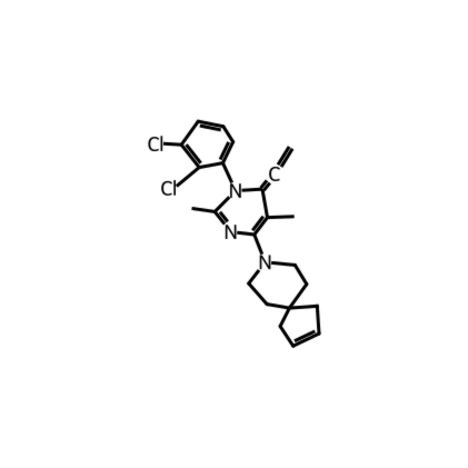 C=C=C1C(C)=C(N2CCC3(CC=CC3)CC2)N=C(C)N1c1cccc(Cl)c1Cl